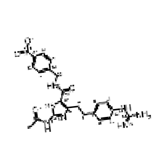 CC(=O)Nc1nc(CCc2ccc(NC(=N)N)cc2)c(C(=O)NCc2ccc([N+](=O)[O-])cc2)s1